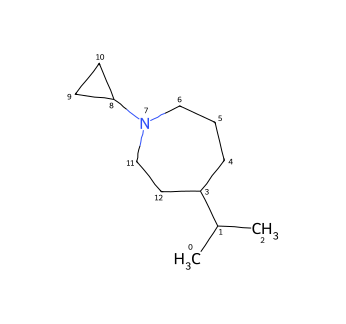 CC(C)C1CCCN(C2CC2)CC1